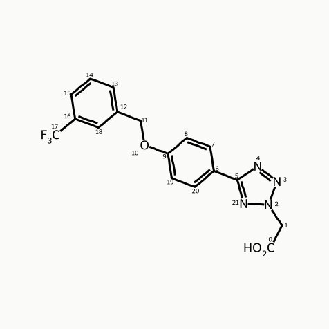 O=C(O)Cn1nnc(-c2ccc(OCc3cccc(C(F)(F)F)c3)cc2)n1